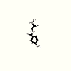 CCNC(=O)CNC(=O)c1ccc([N+](=O)[O-])cc1